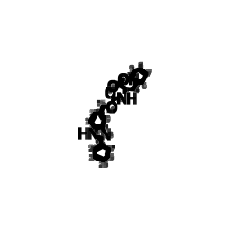 O=C(N[C@H](Cc1ccccc1)C(=O)O)OCc1ccc2[nH]c(-c3ccccc3)nc2c1